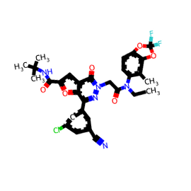 CCN(C(=O)Cn1nc(-c2cc(Cl)cc(C#N)c2)c2oc(C(=O)NC(C)(C)C)cc2c1=O)c1ccc2c(c1C)OC(F)(F)O2